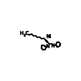 CCCCCCCCCC#CC(C=Nc1ccccc1)=Nc1ccccc1.[Ni]